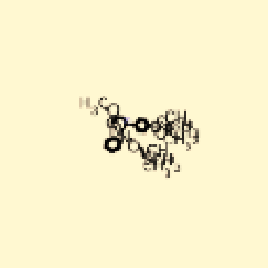 CCOC(=O)/C=C(/c1ccc(B2OC(C)(C)C(C)(C)O2)cc1)c1nc2ccccc2n1COCC[Si](C)(C)C